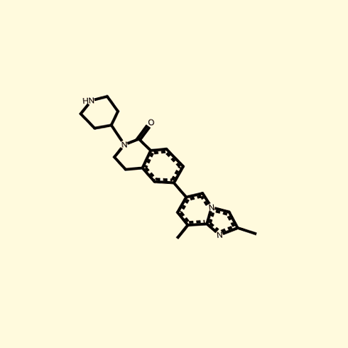 Cc1cn2cc(-c3ccc4c(c3)CCN(C3CCNCC3)C4=O)cc(C)c2n1